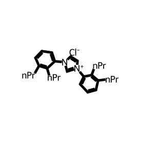 CCCc1cccc(-n2cc[n+](-c3cccc(CCC)c3CCC)c2)c1CCC.[Cl-]